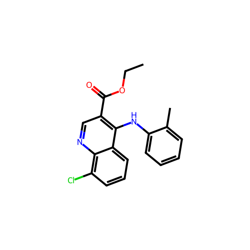 CCOC(=O)c1cnc2c(Cl)cccc2c1Nc1ccccc1C